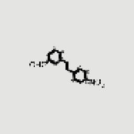 O=Cc1cccc(C=Cc2ccc([N+](=O)[O-])cc2)c1